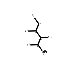 CCCC(I)C(I)C(I)CI